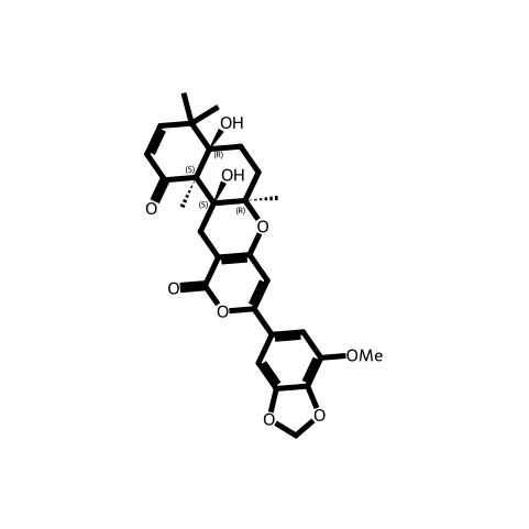 COc1cc(-c2cc3c(c(=O)o2)C[C@]2(O)[C@@]4(C)C(=O)C=CC(C)(C)[C@]4(O)CC[C@@]2(C)O3)cc2c1OCO2